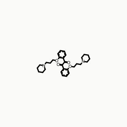 O=C(C(=O)c1ccccc1OCCCN1CCCCC1)c1ccccc1OCCCN1CCCCC1